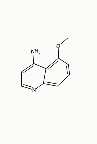 COc1cccc2nccc(N)c12